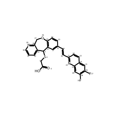 O=C(O)CSC1c2cc(C=Cc3ccc4cc(F)c(F)cc4n3)ccc2OCc2ncccc21